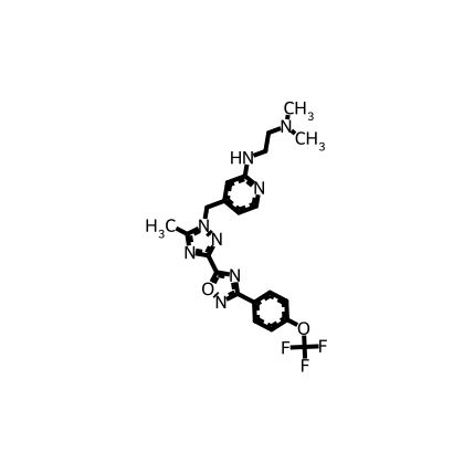 Cc1nc(-c2nc(-c3ccc(OC(F)(F)F)cc3)no2)nn1Cc1ccnc(NCCN(C)C)c1